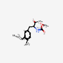 COC(=O)C(Cc1ccc([N+](=O)[O-])c(OC)c1)NC(=O)OC(C)(C)C